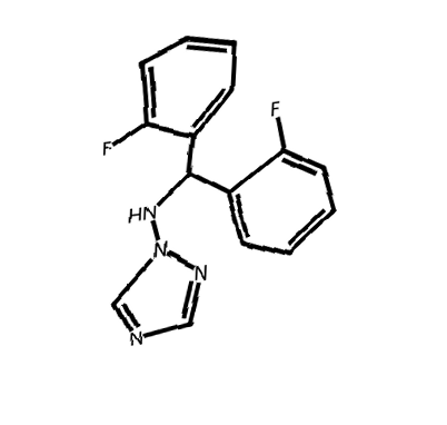 Fc1ccccc1C(Nn1cncn1)c1ccccc1F